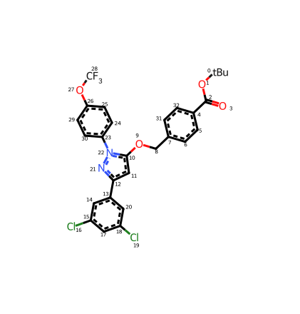 CC(C)(C)OC(=O)c1ccc(COc2cc(-c3cc(Cl)cc(Cl)c3)nn2-c2ccc(OC(F)(F)F)cc2)cc1